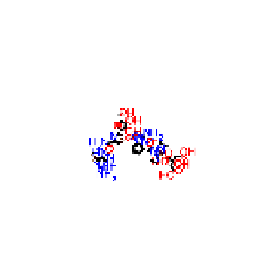 NC(=O)c1csc([C@@H]2O[C@H](CO)[C@@H](O)[C@H]2O)n1.Nc1n[n+]([O-])c2ccccc2[n+]1[O-].Nc1nc(=S)c2[nH]cnc2[nH]1.O=C(O)CC(O)(CC(=O)O)C(=O)O.S=P(N1CC1)(N1CC1)N1CC1